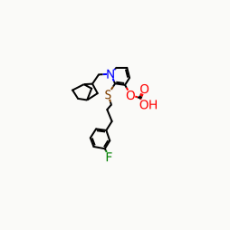 O=C(O)OC1=C(SCCCc2cccc(F)c2)N(CC2CC3CCC2C3)CC=C1